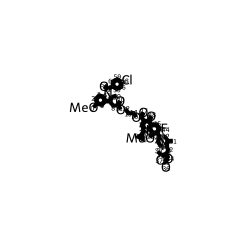 COc1ccc2c(c1)c(CC(=O)OCCCOC(=O)c1cn(C3CC3)c3c(OC)c(N4CCN(Cc5oc(=O)oc5C)C(C)C4)c(F)cc3c1=O)c(C)n2C(=O)c1ccc(Cl)cc1